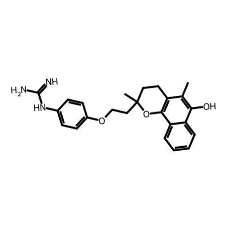 Cc1c2c(c3ccccc3c1O)OC(C)(CCOc1ccc(NC(=N)N)cc1)CC2